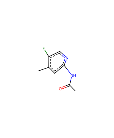 CC(=O)Nc1cc(C)c(F)cn1